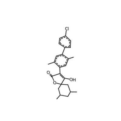 Cc1cc(-c2ccc(Cl)cc2)c(C)cc1C1=C(O)C2(CC(C)CC(C)C2)OC1=O